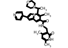 Cc1cc(C)c(CNC(=O)c2cc3cc(-c4ccncc4)cn3c(C(C)N3CCOCC3)c2C)c(=O)[nH]1